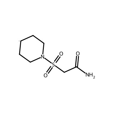 NC(=O)CS(=O)(=O)N1CC[CH]CC1